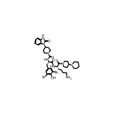 NCCCC[C@H](NC(=O)[C@@H](Cc1cc(Br)c(O)c(Br)c1)NC(=O)N1CCC(n2c(=O)[nH]c3ccccc32)CC1)C(=O)N1CCC(N2CCCCC2)CC1